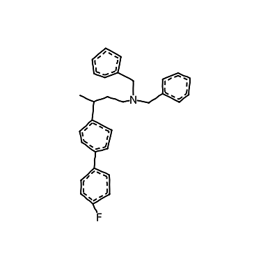 CC(CCN(Cc1ccccc1)Cc1ccccc1)c1ccc(-c2ccc(F)cc2)cc1